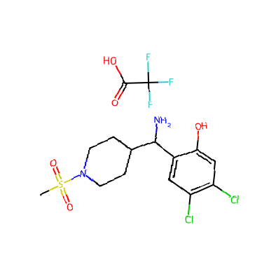 CS(=O)(=O)N1CCC(C(N)c2cc(Cl)c(Cl)cc2O)CC1.O=C(O)C(F)(F)F